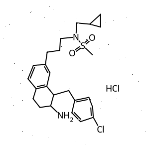 CS(=O)(=O)N(CCCc1ccc2c(c1)C(Cc1ccc(Cl)cc1)C(N)CC2)CC1CC1.Cl